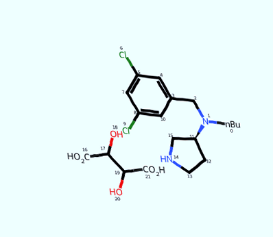 CCCCN(Cc1cc(Cl)cc(Cl)c1)[C@H]1CCNC1.O=C(O)C(O)C(O)C(=O)O